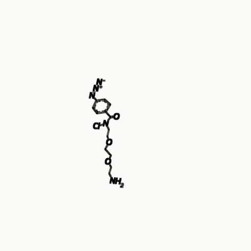 [N-]=[N+]=Nc1ccc(C(=O)N(Cl)CCOCCOCCN)cc1